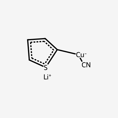 N#[C][Cu-][c]1cccs1.[Li+]